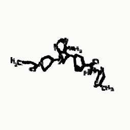 C=CC(=O)N1CCC(n2nc(-c3ccc(C(=O)Nc4ncc(C)s4)cc3)c3c(N)ncnc32)CC1